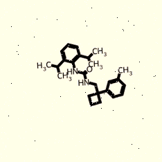 Cc1cccc(C2(CNC(=O)Nc3c(C(C)C)cccc3C(C)C)CCC2)c1